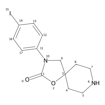 O=C1OC2(CCNCC2)CN1c1ccc(I)cc1